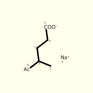 CC(=O)C(C)CCC(=O)[O-].[Na+]